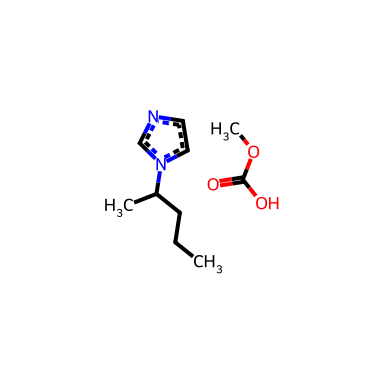 CCCC(C)n1ccnc1.COC(=O)O